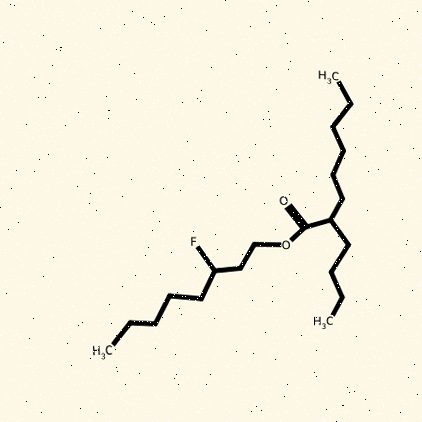 CCCCCCC(CCCC)C(=O)OCCC(F)CCCCC